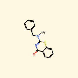 CCCN(Cc1ccccc1)c1nc(=O)c2ccccc2s1